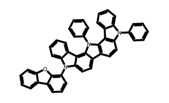 c1ccc(-n2c3ccccc3c3c2ccc2c4ccc5c(c6ccccc6n5-c5cccc6c5oc5ccccc56)c4n(-c4ccccc4)c23)cc1